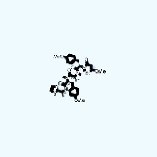 CC/C(=C\C(=O)N(C)[C@@H](Cc1ccc(OC)cc1)C(=O)N(C)[C@H](C(=O)N(C)[C@@H](Cc1ccc(OC)cc1)C(=O)N[C@@H](C)c1nccs1)C(C)C)OC